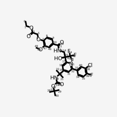 CCOC(=O)COc1ccc(C(=O)NCC(O)(c2cc(C(C)(C)NC(=O)OC(C)(C)C)cc(-c3ccc(F)c(Cl)c3)n2)C(F)(F)F)cc1OC